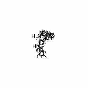 Cc1cc(C)c2oc(Nc3ccc(-c4nn(C5(N)N=CC=N5)c5ncnc(N)c45)cc3)nc2c1